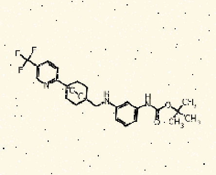 CC(C)(C)OC(=O)Nc1cccc(NCC23CCC(c4ccc(C(F)(F)F)cn4)(CC2)CC3)c1